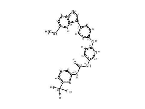 COc1ccn2ncc(-c3ccc(Oc4ncc(NC(=O)Nc5cccc(C(F)(F)F)c5)cn4)cc3)c2n1